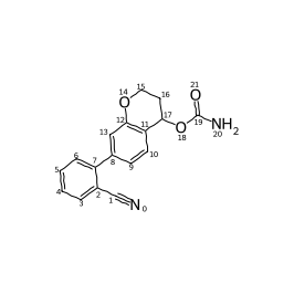 N#Cc1ccccc1-c1ccc2c(c1)OCCC2OC(N)=O